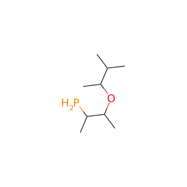 CC(C)C(C)OC(C)C(C)P